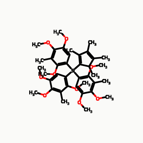 COc1cc([Si](C2=C(C)C(C)=C(C)C2C)(c2cc(OC)c(OC)c(C)c2OC)c2cc(OC)c(OC)c(C)c2OC)c(OC)c(C)c1OC